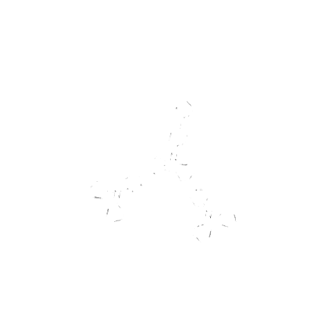 c1ccc(-c2ccc(-n3c4ccc(-c5ccc(-n6c7ccccc7c7ccccc76)cc5)cc4c4cc(-c5ccc(-n6c7ccccc7c7ccccc76)cc5)ccc43)cc2)cc1